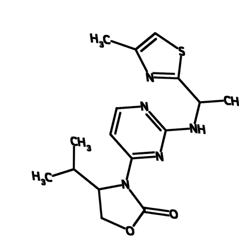 Cc1csc(C(C)Nc2nccc(N3C(=O)OCC3C(C)C)n2)n1